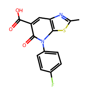 Cc1nc2cc(C(=O)O)c(=O)n(-c3ccc(F)cc3)c2s1